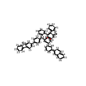 c1cc(-c2cccc(N(c3ccc(-c4ccc5c(c4)sc4ccccc45)cc3)c3ccccc3-c3cccc4sc5ccccc5c34)c2)cc(-c2ccc3ccccc3c2)c1